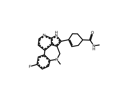 CNC(=O)C1CC=C(c2[nH]c3nccc4c3c2CN(C)c2ccc(F)cc2-4)CC1